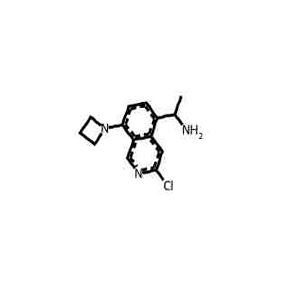 CC(N)c1ccc(N2CCC2)c2cnc(Cl)cc12